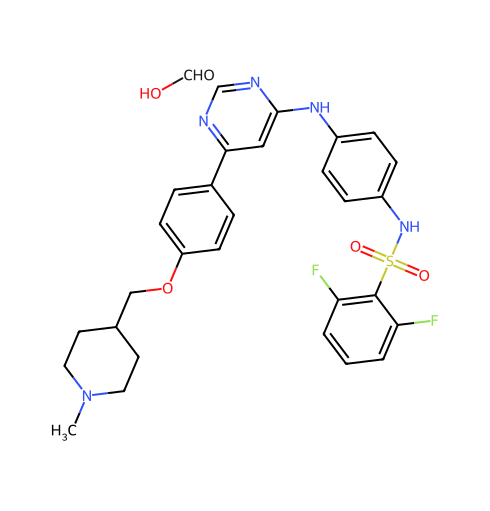 CN1CCC(COc2ccc(-c3cc(Nc4ccc(NS(=O)(=O)c5c(F)cccc5F)cc4)ncn3)cc2)CC1.O=CO